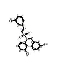 O=S(=O)(/C=C/c1cccc(Cl)c1)N(Cc1cccc(F)c1)c1cccc(Cl)c1